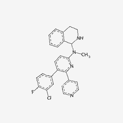 CN(c1ccc(-c2ccc(F)c(Cl)c2)c(-c2ccncc2)n1)C1NCCc2ccccc21